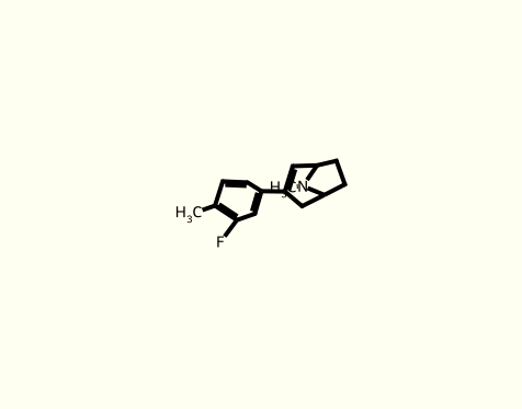 Cc1ccc(C2=CC3CCC(C2)N3C)cc1F